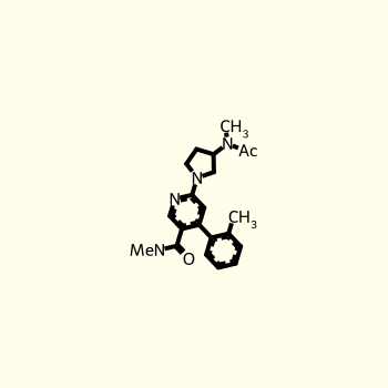 CNC(=O)c1cnc(N2CCC(N(C)C(C)=O)C2)cc1-c1ccccc1C